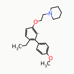 CCc1ccc(OCCN2CCCCC2)[c]c1-c1ccc(OC)cc1